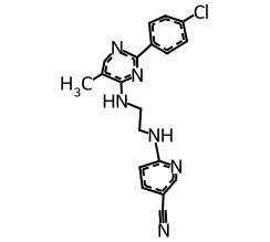 Cc1cnc(-c2ccc(Cl)cc2)nc1NCCNc1ccc(C#N)cn1